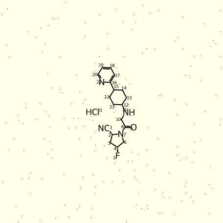 Cl.N#C[C@@H]1C[C@H](F)CN1C(=O)CNC1CCC(c2ccccn2)CC1